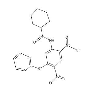 O=C(Nc1cc(Sc2ccccc2)c([N+](=O)[O-])cc1[N+](=O)[O-])C1CCCCC1